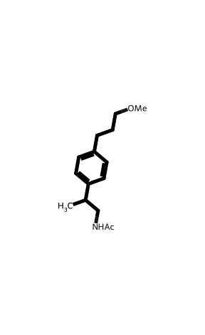 COCCCc1ccc(C(C)CNC(C)=O)cc1